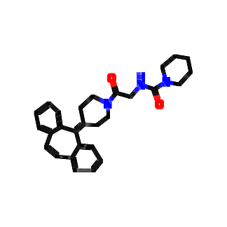 O=C(CNC(=O)N1CCCCC1)N1CCC(=C2c3ccccc3C=Cc3ccccc32)CC1